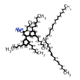 CCCCCCCCCCCCCC[CH2][Ni][CH2]CCCCCCCCCCCCCC.CCCCCCc1cc(CCCCCC)cc(C(=CC(=C=[N+]=[N-])CCCC)c2cc(CCCCC)cc(CCCCC)c2)c1